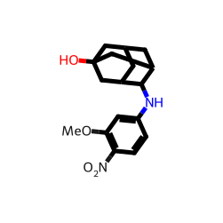 COc1cc(NC2C3CC4CC2CC(O)(C4)C3)ccc1[N+](=O)[O-]